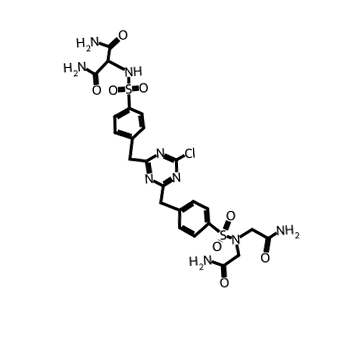 NC(=O)CN(CC(N)=O)S(=O)(=O)c1ccc(Cc2nc(Cl)nc(Cc3ccc(S(=O)(=O)NC(C(N)=O)C(N)=O)cc3)n2)cc1